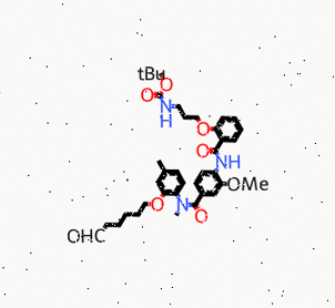 COc1cc(C(=O)N(C)c2ccc(C)cc2OCCCCCC=O)ccc1NC(=O)c1ccccc1OCCCNC(=O)OC(C)(C)C